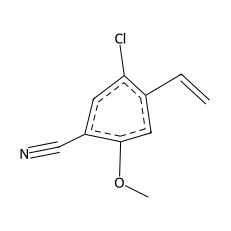 C=Cc1cc(OC)c(C#N)cc1Cl